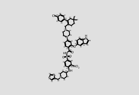 CC1(C)CCC(CN2CCN(c3ccc(C(=O)NS(=O)(=O)c4ccc(NC5CCN(Cc6cscn6)CC5)c([N+](=O)[O-])c4)c(Oc4ccc5[nH]ccc5c4)c3)CC2)=C(c2ccc(Cl)cc2)C1